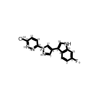 Fc1ccc2c(-c3cnn(-c4ccc(Cl)nn4)c3)c[nH]c2c1